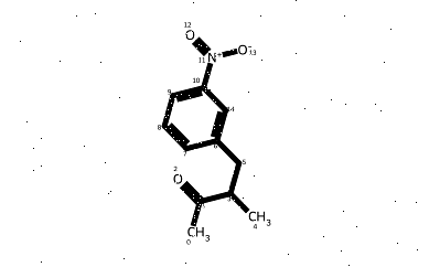 CC(=O)C(C)Cc1cccc([N+](=O)[O-])c1